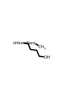 CCCCCC.CCCCCCCCCCO